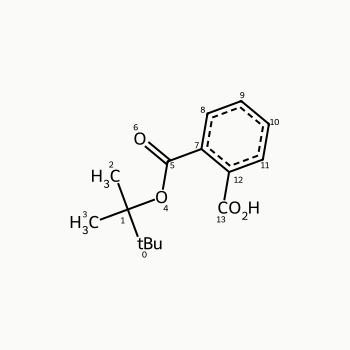 CC(C)(C)C(C)(C)OC(=O)c1ccccc1C(=O)O